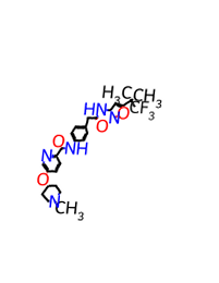 CN1CCC(Oc2ccc(C(=O)Nc3ccc(CC(=O)Nc4cc(C(C)(C)C(F)(F)F)on4)cc3)nc2)CC1